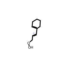 OOC/C=C/C1=CCCCC1